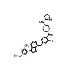 Cc1cc(Cc2nccn3c(-c4cn(CC(C)C)nc4C(F)(F)F)cnc23)ccc1C(=O)N1CCN(C(=O)[C@@H]2CCCN2)CC1